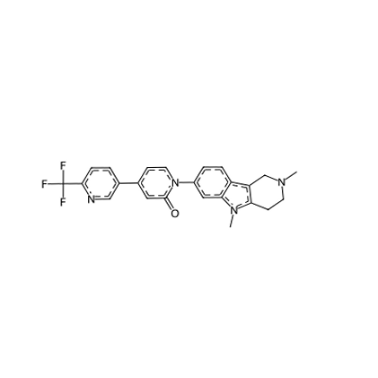 CN1CCc2c(c3ccc(-n4ccc(-c5ccc(C(F)(F)F)nc5)cc4=O)cc3n2C)C1